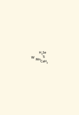 [CaH2].[Mn].[SeH2].[Ti].[W]